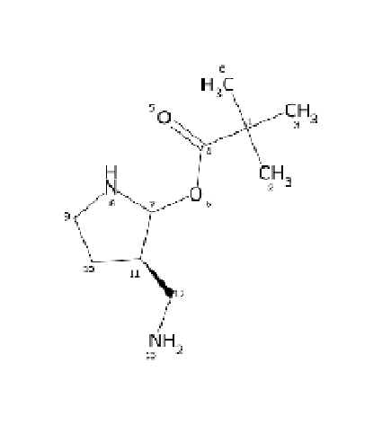 CC(C)(C)C(=O)OC1NCC[C@@H]1CN